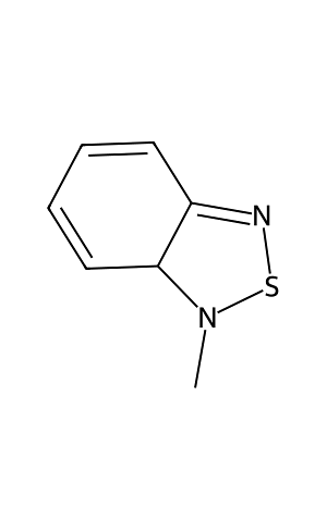 CN1SN=C2C=CC=CC21